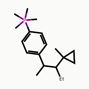 CCC(C(C)c1ccc(P(C)(C)(C)C)cc1)C1(C)CC1